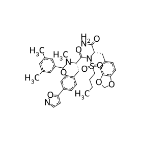 CCCCS(=O)(=O)N(C(=O)[C@H](Cc1ccc(-c2ccno2)cc1)N(C)C(=O)c1cc(C)cc(C)c1)[C@@H](Cc1ccc2c(c1)OCO2)C(N)=O